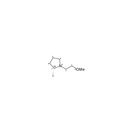 COCCN1CCC[C@H]1C